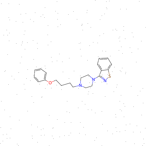 c1ccc(OCCCCN2CCN(c3nsc4ccccc34)CC2)cc1